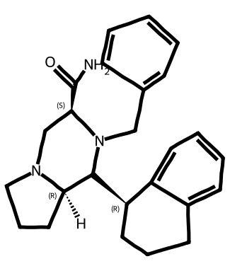 NC(=O)[C@@H]1CN2CCC[C@@H]2C([C@@H]2CCCc3ccccc32)N1Cc1ccccc1